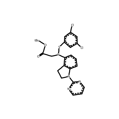 CC(C)(C)OC(=O)CN(Sc1cc(Cl)cc(Cl)c1)c1cccc2c1CCN2c1ncccn1